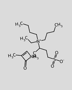 CC1=CNC1=O.CCCC[N+](CC)(CCCC)C(C)CCS(=O)(=O)[O-]